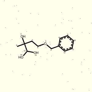 CC(O)(CCOCc1ccccc1)C(O)O